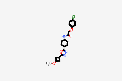 O=C(COc1ccc(Cl)cc1)N[C@H]1CC[C@H](c2nnc(C3CC(OC(F)(F)F)C3)o2)CC1